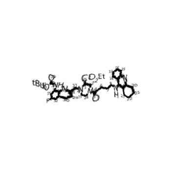 CCOC(=O)C1CN(C(=O)CCCNc2c3c(nc4ccccc24)CCCC3)CCN1Cc1ccc2cc(F)cc(NC(=O)OC(C)(C)C)c2n1